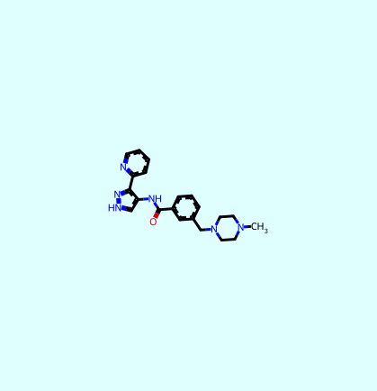 CN1CCN(Cc2cccc(C(=O)Nc3c[nH]nc3-c3ccccn3)c2)CC1